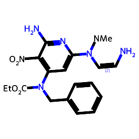 CCOC(=O)N(Cc1ccccc1)c1cc(N(/C=C\N)NC)nc(N)c1[N+](=O)[O-]